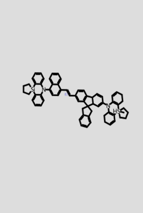 C[SH]12(CCCC1)C1=C(CCC=C1)N(C1=CC3C(C=C1)c1ccc(/C=C/c4ccc(N5c6ccccc6[Si]6(CCCC6)c6ccccc65)c5ccccc45)cc1C31Cc3ccccc3C1)C1=C2CCC=C1